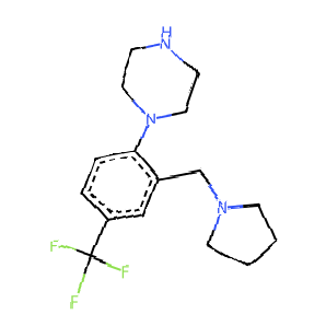 FC(F)(F)c1ccc(N2CCNCC2)c(CN2CCCC2)c1